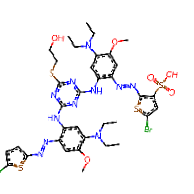 CCN(CC)c1cc(Nc2nc(Nc3cc(N(CC)CC)c(OC)cc3/N=N/c3sc(Br)cc3S(=O)(=O)O)nc(SCCO)n2)c(/N=N/c2ccc(Br)s2)cc1OC